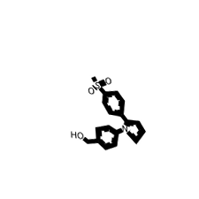 CS(=O)(=O)c1ccc(-c2cccn2-c2ccc(CO)cc2)cc1